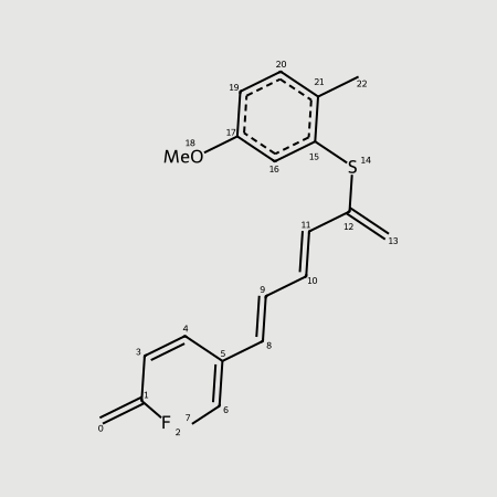 C=C(F)\C=C/C(=C\C)/C=C/C=C/C(=C)Sc1cc(OC)ccc1C